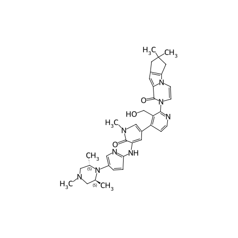 C[C@H]1CN(C)C[C@H](C)N1c1ccc(Nc2cc(-c3ccnc(-n4ccn5c6c(cc5c4=O)CC(C)(C)C6)c3CO)cn(C)c2=O)nc1